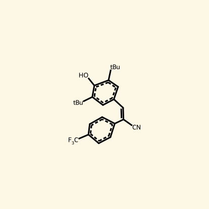 CC(C)(C)c1cc(C=C(C#N)c2ccc(C(F)(F)F)cc2)cc(C(C)(C)C)c1O